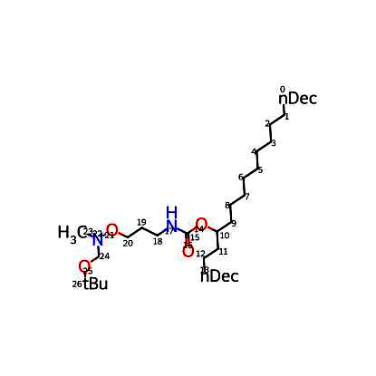 CCCCCCCCCCCCCCCCCCCC(CCCCCCCCCCCC)OC(=O)NCCCON(C)COC(C)(C)C